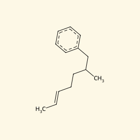 CC=CCCC(C)Cc1ccccc1